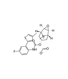 Cc1csc(-c2cc(F)ccc2NC(=O)O[C@@H]2C[C@@H]3[C@H]4O[C@H]4[C@H](C2)[N+]3(C)C)c1.O=C[O-]